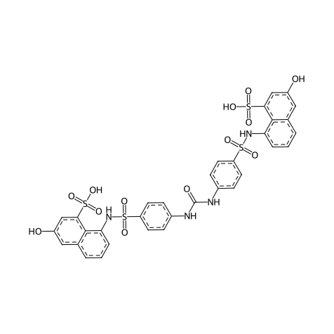 O=C(Nc1ccc(S(=O)(=O)Nc2cccc3cc(O)cc(S(=O)(=O)O)c23)cc1)Nc1ccc(S(=O)(=O)Nc2cccc3cc(O)cc(S(=O)(=O)O)c23)cc1